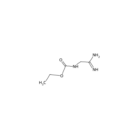 CCOC(=O)NCC(=N)N